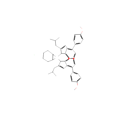 COc1ccc(-c2cccc3c2C=C(CC(C)C)[CH]3[Hf]2([CH]3C(CC(C)C)=Cc4c(-c5ccc(OC)cc5)cccc43)[CH]3CCCC[CH]32)cc1.Cl.Cl